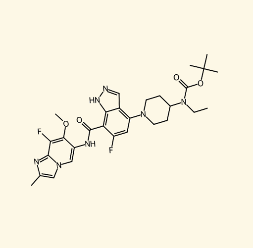 CCN(C(=O)OC(C)(C)C)C1CCN(c2cc(F)c(C(=O)Nc3cn4cc(C)nc4c(F)c3OC)c3[nH]ncc23)CC1